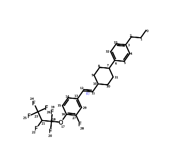 CCCc1ccc(C2CCC(/C=C/c3ccc(OC(F)(F)C(F)C(F)(F)F)c(F)c3)CC2)cc1